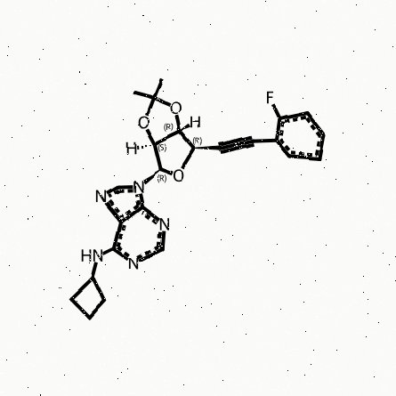 CC1(C)O[C@H]2[C@H](O1)[C@@H](C#Cc1ccccc1F)O[C@H]2n1cnc2c(NC3CCC3)ncnc21